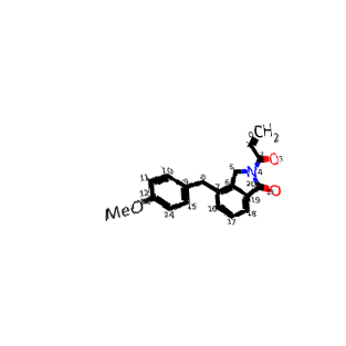 C=CC(=O)N1Cc2c(Cc3ccc(OC)cc3)cccc2C1=O